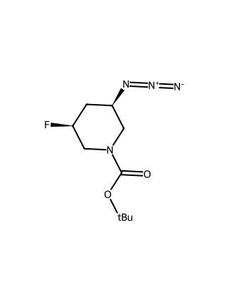 CC(C)(C)OC(=O)N1C[C@@H](F)C[C@@H](N=[N+]=[N-])C1